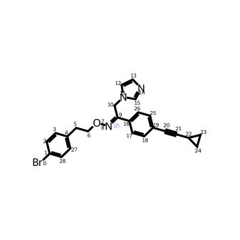 Brc1ccc(CCO/N=C(\Cn2ccnc2)c2ccc(C#CC3CC3)cc2)cc1